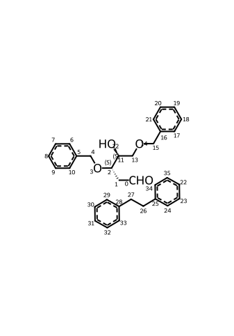 O=CC[C@H](OCc1ccccc1)[C@@H](O)COCc1ccccc1.c1ccc(CCc2ccccc2)cc1